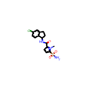 Cn1c(C(=O)NC2CCc3cc(Cl)ccc32)ccc1S(N)(=O)=O